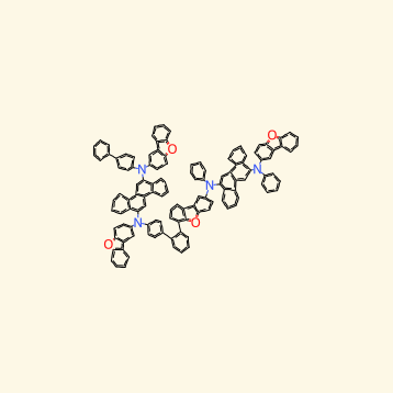 c1ccc(-c2ccc(N(c3ccc4oc5ccccc5c4c3)c3cc4c5ccccc5c(N(c5ccc(-c6ccccc6-c6cccc7c6oc6ccc(N(c8ccccc8)c8cc9c%10ccccc%10c(N(c%10ccccc%10)c%10ccc%11oc%12ccccc%12c%11c%10)cc9c9ccccc89)cc67)cc5)c5ccc6oc7ccccc7c6c5)cc4c4ccccc34)cc2)cc1